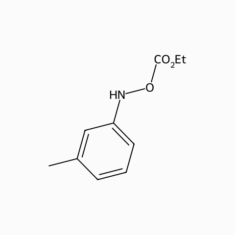 CCOC(=O)ONc1cccc(C)c1